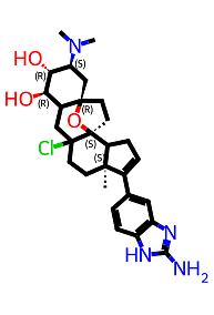 CN(C)[C@H]1C[C@@]23CC[C@]4(O2)C2CC=C(c5ccc6[nH]c(N)nc6c5)[C@@]2(C)CCC4(Cl)CC3[C@@H](O)[C@@H]1O